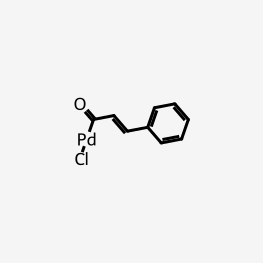 O=[C](C=Cc1ccccc1)[Pd][Cl]